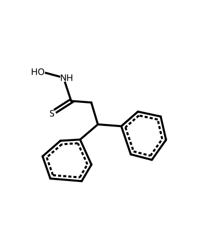 ONC(=S)CC(c1ccccc1)c1ccccc1